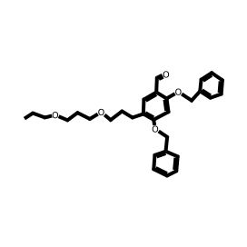 CCCOCCCOCCCc1cc(C=O)c(OCc2ccccc2)cc1OCc1ccccc1